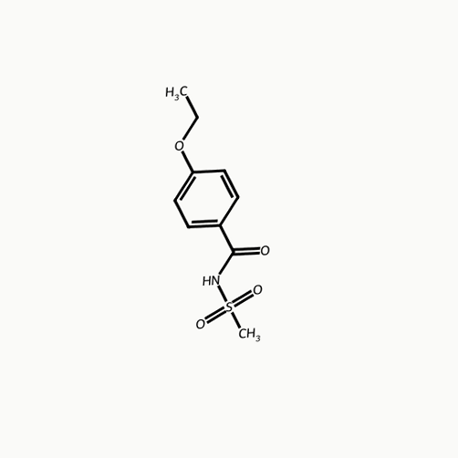 CCOc1ccc(C(=O)NS(C)(=O)=O)cc1